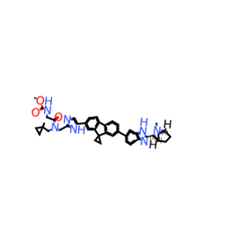 COC(=O)NCC(=O)N(Cc1ncc(-c2ccc3c(c2)C2(CC2)c2cc(-c4ccc5nc([C@@H]6[C@H]7CC[C@H](C7)N6C)[nH]c5c4)ccc2-3)[nH]1)CC1(C)CC1